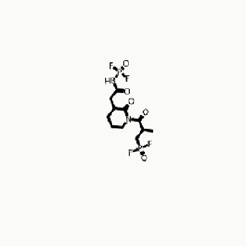 CC(CP(=O)(F)F)C(=O)N1CCCC(CC(=O)BP(=O)(F)F)C1=O